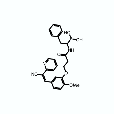 COc1ccc(C=C(C#N)c2ccccn2)cc1OCCC(=O)NC(Cc1ccccc1)B(O)O